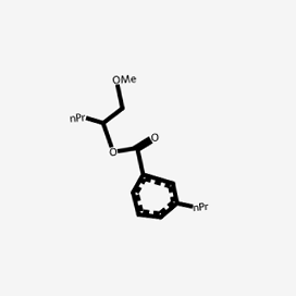 CCCc1cccc(C(=O)OC(CCC)COC)c1